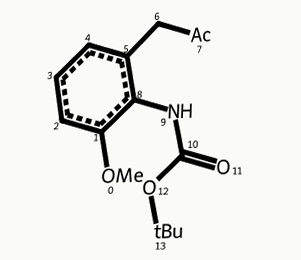 COc1cccc(CC(C)=O)c1NC(=O)OC(C)(C)C